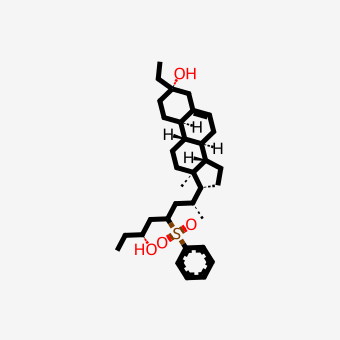 CC[C@@H](O)CC(C[C@@H](C)[C@H]1CC[C@H]2[C@@H]3CC=C4C[C@](O)(CC)CC[C@@H]4[C@H]3CC[C@]12C)S(=O)(=O)c1ccccc1